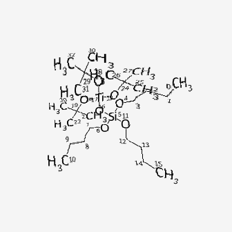 CCCCO[Si](OCCCC)(OCCCC)[O][Ti]([O]C(C)(C)C)([O]C(C)(C)C)[O]C(C)(C)C